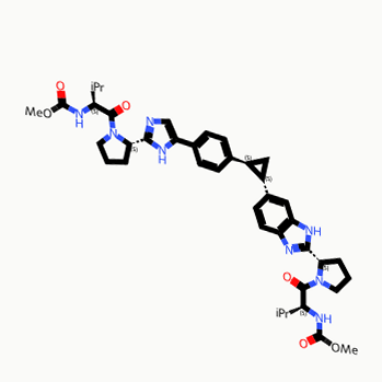 COC(=O)N[C@H](C(=O)N1CCC[C@H]1c1ncc(-c2ccc([C@H]3C[C@@H]3c3ccc4nc([C@@H]5CCCN5C(=O)[C@@H](NC(=O)OC)C(C)C)[nH]c4c3)cc2)[nH]1)C(C)C